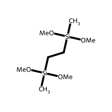 CO[Si](C)(CC[Si](C)(OC)OC)OC